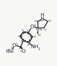 CC(C)(C)OC(=O)c1ccc(O[C@@]2(C)CCNC2)cc1N